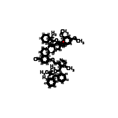 COc1ccc(COC(=O)[C@@]2(C)CCCC[C@H]2C(=O)N2CCc3c(Cl)ccc(OCc4nnn(C)c4CO[Si](c4ccccc4)(c4ccccc4)C(C)(C)C)c3[C@H]2CN2CC3(CC3)CC2=O)c(OC)c1